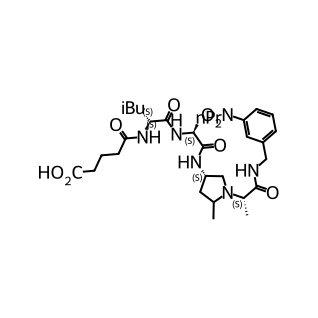 CCC[C@H](NC(=O)[C@@H](NC(=O)CCCC(=O)O)[C@@H](C)CC)C(=O)N[C@H]1CC(C)N([C@@H](C)C(=O)NCc2cccc([N+](=O)[O-])c2)C1